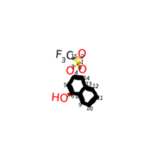 O=S(=O)(Oc1cc(O)c2ccccc2c1)C(F)(F)F